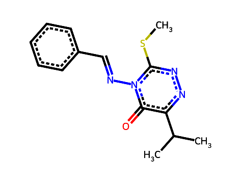 CSc1nnc(C(C)C)c(=O)n1N=Cc1ccccc1